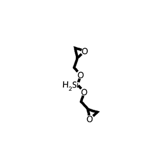 C(O[SiH2]OCC1CO1)C1CO1